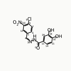 O=C(N/N=C\c1ccc(Cl)c([N+](=O)[O-])c1)c1ccc(O)c(O)c1